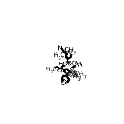 C=C(/C=C(\C=C(/C)N(C)CCO)C(/C=C/NC(=O)c1ccnc(C(C)(C)C#N)c1)=C(C)/C=C\C)C1CCOCC1